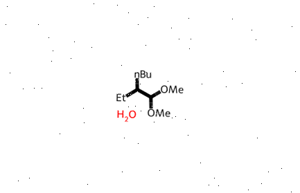 CCCCC(CC)C(OC)OC.O